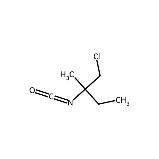 CCC(C)(CCl)N=C=O